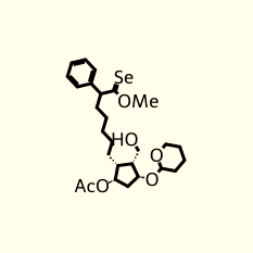 COC(=[Se])C(CCCCC[C@@H]1[C@H](CO)[C@H](OC2CCCCO2)C[C@@H]1OC(C)=O)c1ccccc1